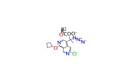 CC(C)(N=[N+]=[N-])c1cnc(OC2CCC2)c2cnc(Cl)cc12.O=C([O-])[O-].[K+].[K+]